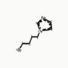 BrCCCCn1ccnc1